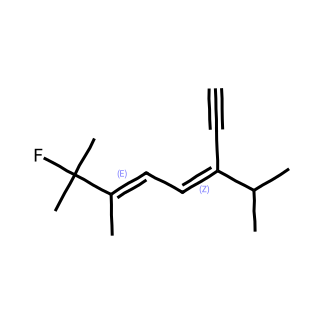 C#C/C(=C\C=C(/C)C(C)(C)F)C(C)C